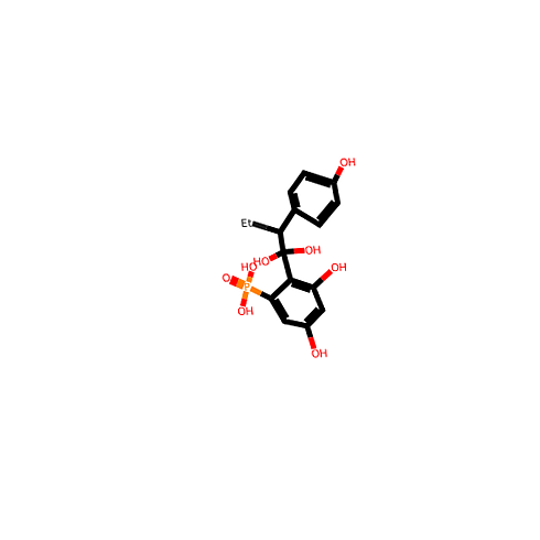 CCC(c1ccc(O)cc1)C(O)(O)c1c(O)cc(O)cc1P(=O)(O)O